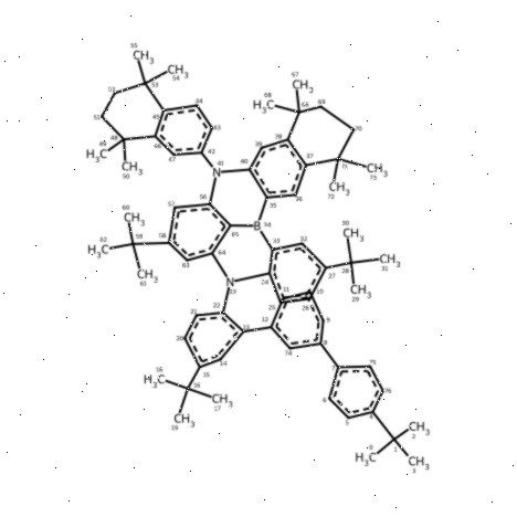 CC(C)(C)c1ccc(-c2cccc(-c3cc(C(C)(C)C)ccc3N3c4ccc(C(C)(C)C)cc4B4c5cc6c(cc5N(c5ccc7c(c5)C(C)(C)CCC7(C)C)c5cc(C(C)(C)C)cc3c54)C(C)(C)CCC6(C)C)c2)cc1